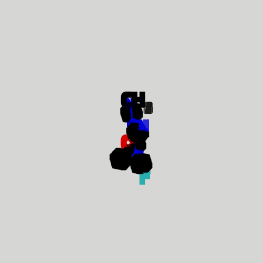 CN1CCN(c2ccc(CN(C(=O)c3ccccc3)c3ccc(F)cc3)cn2)CC1